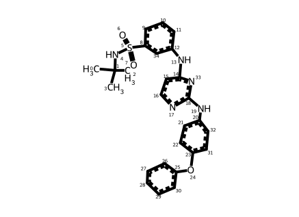 CC(C)(C)NS(=O)(=O)c1cccc(Nc2ccnc(Nc3ccc(Oc4ccccc4)cc3)n2)c1